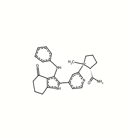 C[N+]1(c2cc(-c3[nH]c4c(c3Nc3ccccc3)C(=O)CCC4)ccn2)CCC[C@@H]1C(N)=O